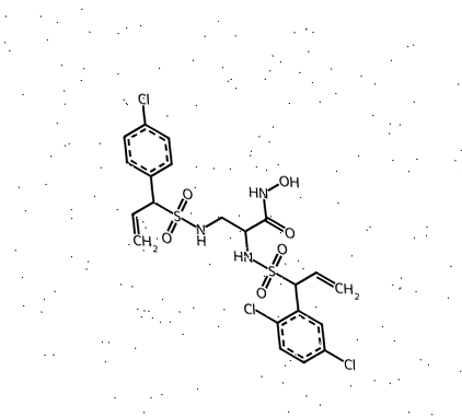 C=CC(c1ccc(Cl)cc1)S(=O)(=O)NCC(NS(=O)(=O)C(C=C)c1cc(Cl)ccc1Cl)C(=O)NO